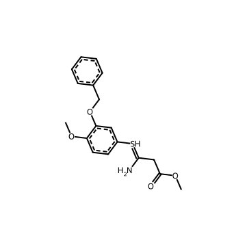 COC(=O)CC(N)=[SH]c1ccc(OC)c(OCc2ccccc2)c1